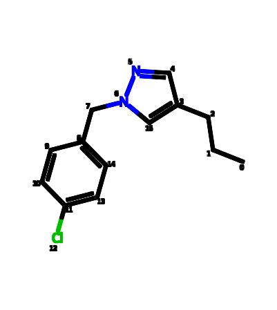 CCCc1cnn(Cc2ccc(Cl)cc2)c1